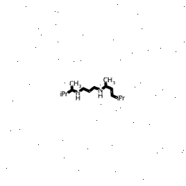 CC(C)CCC(C)NCCCNC(C)C(C)C